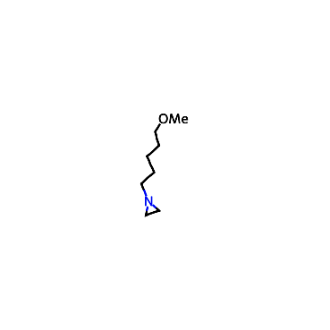 COCCCCCN1CC1